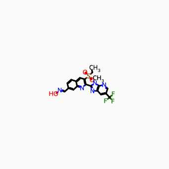 CCS(=O)(=O)c1cc2ccc(/C=N/O)cc2nc1-c1nc2cc(C(F)(F)F)cnc2n1C